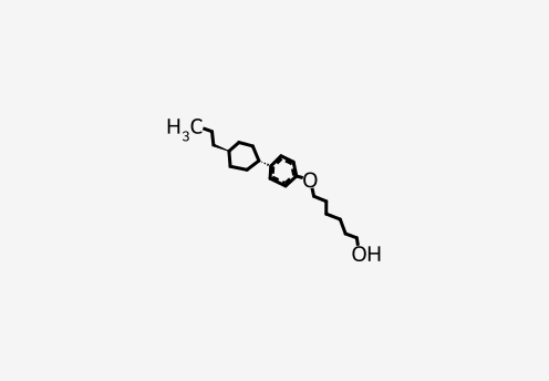 CCC[C@H]1CC[C@H](c2ccc(OCCCCCCO)cc2)CC1